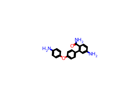 NC(=O)c1ccc(N)cc1-c1ccc(Oc2ccc(N)cc2)cc1